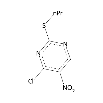 CCCSc1ncc([N+](=O)[O-])c(Cl)n1